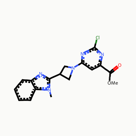 COC(=O)c1cc(N2CC(c3nc4ccccc4n3C)C2)nc(Cl)n1